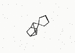 C1=C2C3CC1CC3C21CCCC1